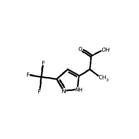 CC(C(=O)O)c1[c]c(C(F)(F)F)n[nH]1